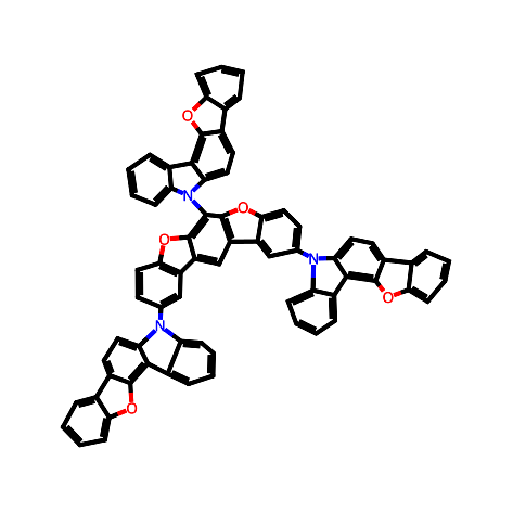 c1ccc2c(c1)oc1c2ccc2c1c1ccccc1n2-c1ccc2oc3c(-n4c5ccccc5c5c6oc7ccccc7c6ccc54)c4oc5ccc(-n6c7ccccc7c7c8oc9ccccc9c8ccc76)cc5c4cc3c2c1